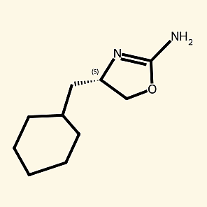 NC1=N[C@@H](CC2CCCCC2)CO1